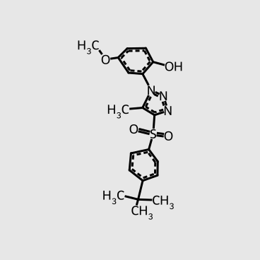 COc1ccc(O)c(-n2nnc(S(=O)(=O)c3ccc(C(C)(C)C)cc3)c2C)c1